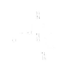 C1CNCCN1.ClCCl.c1ccc2c(c1)CCN2